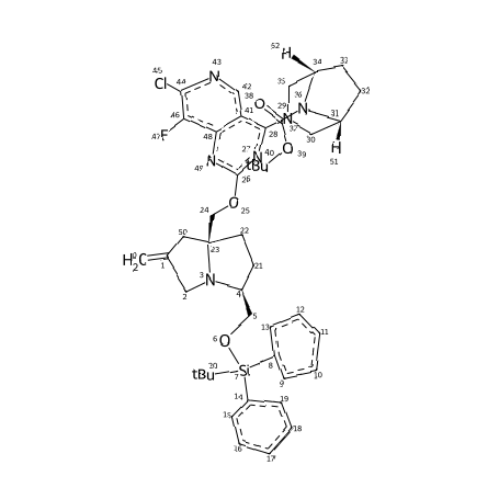 C=C1CN2[C@H](CO[Si](c3ccccc3)(c3ccccc3)C(C)(C)C)CC[C@@]2(COc2nc(N3C[C@H]4CC[C@@H](C3)N4C(=O)OC(C)(C)C)c3cnc(Cl)c(F)c3n2)C1